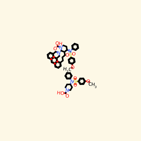 COc1ccc(S(=O)(=O)N(c2ccccc2)C2CCN(C(=O)O)CC2)cc1.COc1ccc(S(=O)(=O)N(c2ccccc2)C2CCN(C(=O)O)[C@H](N(Cc3ccccc3)Cc3ccccc3)C2CCCc2ccccc2)cc1